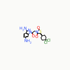 Nc1ccc2c(N)nn(C(=O)CN3C(=O)SC(=C4CCC(Cl)(Cl)CC4)C3=O)c2c1